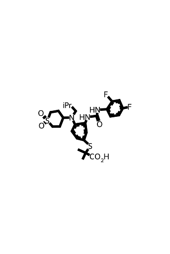 CC(C)CN(c1ccc(SC(C)(C)C(=O)O)cc1NC(=O)Nc1ccc(F)cc1F)C1CCS(=O)(=O)CC1